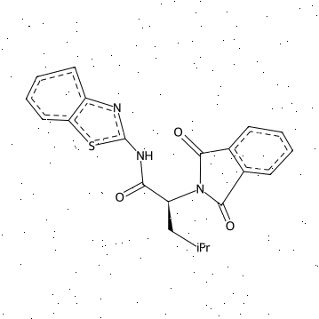 CC(C)C[C@@H](C(=O)Nc1nc2ccccc2s1)N1C(=O)c2ccccc2C1=O